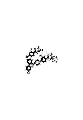 CC(C)(C)OC(=O)c1ccc(Br)cc1F.CC(C)(C)OC(=O)c1ccc(N2CCN(Cc3ccccc3-c3ccc(Cl)cc3)CC2)cc1F